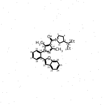 CCN(CC)C1CCN(C(=O)c2c(C)nn(-c3ccccc3-c3cc4ccccc4o3)c2C)C1